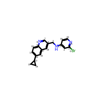 Brc1cc(NCc2cnc3ccc(C4CC4)cc3c2)ccn1